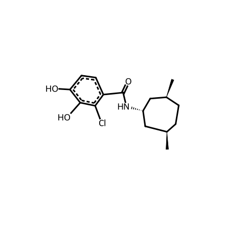 C[C@@H]1CC[C@H](C)C[C@@H](NC(=O)c2ccc(O)c(O)c2Cl)C1